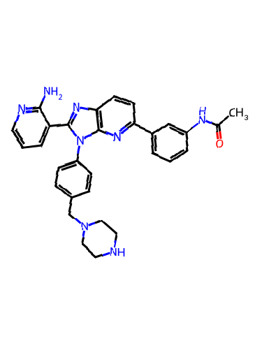 CC(=O)Nc1cccc(-c2ccc3nc(-c4cccnc4N)n(-c4ccc(CN5CCNCC5)cc4)c3n2)c1